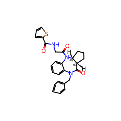 O=C(NCC(=O)N1c2ccccc2N(Cc2ccccc2)C(=O)[C@H]2CCC[C@H]21)c1cccs1